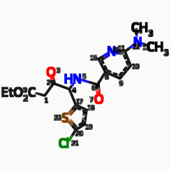 CCOC(=O)CC(=O)C(NC(=O)c1ccc(N(C)C)nc1)c1ccc(Cl)s1